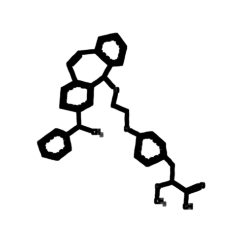 COC(Cc1ccc(OCCOC2c3ccccc3C=Cc3ccc(C(C)c4ccccc4)cc32)cc1)C(=O)O